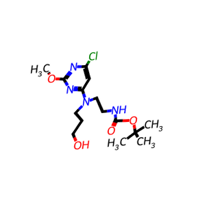 COc1nc(Cl)cc(N(CCCO)CCNC(=O)OC(C)(C)C)n1